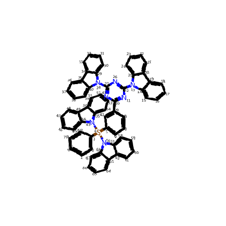 c1ccc(S(c2cccc(-c3nc(-n4c5ccccc5c5ccccc54)nc(-n4c5ccccc5c5ccccc54)n3)c2)(n2c3ccccc3c3ccccc32)n2c3ccccc3c3ccccc32)cc1